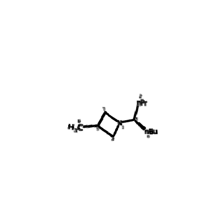 CCCC[C@H](CCC)N1CC(C)C1